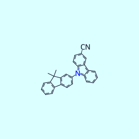 CC1(C)c2ccccc2-c2ccc(-n3c4ccccc4c4cc(C#N)ccc43)cc21